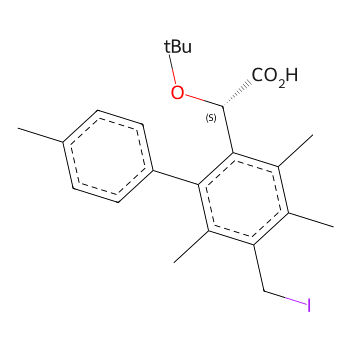 Cc1ccc(-c2c(C)c(CI)c(C)c(C)c2[C@H](OC(C)(C)C)C(=O)O)cc1